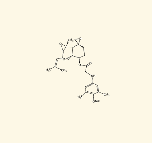 COc1c(C)cc(NCC(=O)O[C@@H]2CC[C@]3(CO3)[C@@H]([C@@]3(C)OC3CC=C(C)C)[C@@H]2OC)cc1C